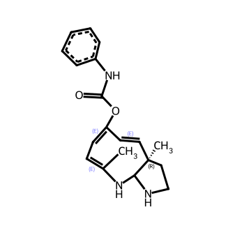 C\C1=C/C=C(OC(=O)Nc2ccccc2)\C=C\[C@@]2(C)CCNC2N1